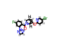 O=C(c1ccc(F)cc1-n1nccn1)N1C[C@H]2C[C@@H](Oc3ccc(Br)cn3)[C@@H]1C2